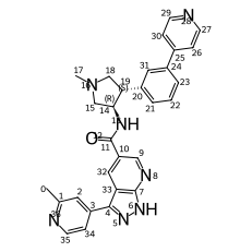 Cc1cc(-c2n[nH]c3ncc(C(=O)N[C@H]4CN(C)C[C@@H]4c4cccc(-c5ccncc5)c4)cc23)ccn1